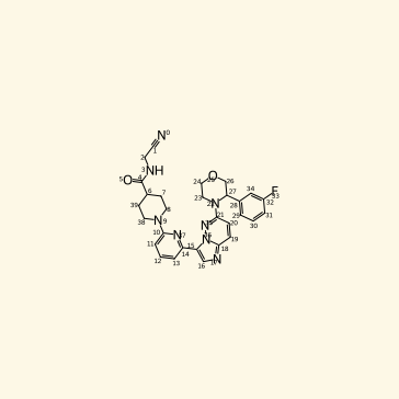 N#CCNC(=O)C1CCN(c2cccc(-c3cnc4ccc(N5CCOCC5c5cccc(F)c5)nn34)n2)CC1